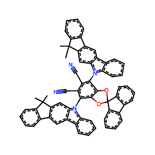 CC1(C)c2ccccc2-c2cc3c4ccccc4n(-c4c(C#N)c(C#N)c(-n5c6ccccc6c6cc7c(cc65)C(C)(C)c5ccccc5-7)c5c4OC4(O5)c5ccccc5-c5ccccc54)c3cc21